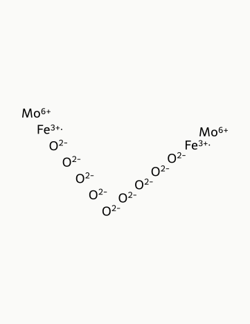 [Fe+3].[Fe+3].[Mo+6].[Mo+6].[O-2].[O-2].[O-2].[O-2].[O-2].[O-2].[O-2].[O-2].[O-2]